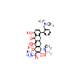 CN(C)Cc1ccccc1-c1ccc(O)c2c1CC1CC3C(C(O)=C1C2=O)[C@](C)(O)C(C(N)=O)=C(O)[C@H]3N(C)C